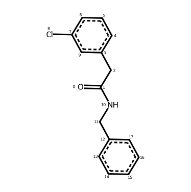 O=C(Cc1cccc(Cl)c1)NCc1ccccc1